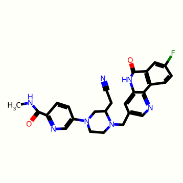 CNC(=O)c1ccc(N2CCN(Cc3cnc4c(c3)[nH]c(=O)c3cc(F)ccc34)C(CC#N)C2)cn1